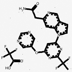 CC(F)(F)c1nc(Oc2cncnc2)cc(-n2ccc3cnc(CC(N)=O)cc32)n1.O=C(O)C(F)(F)F